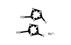 [Pb+2].[S-]c1nnc(S)s1.[S-]c1nnc(S)s1